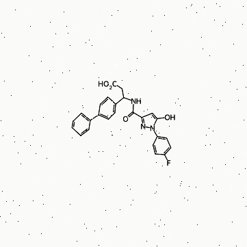 O=C(O)CC(NC(=O)c1cc(O)n(-c2ccc(F)cc2)n1)c1ccc(-c2ccccc2)cc1